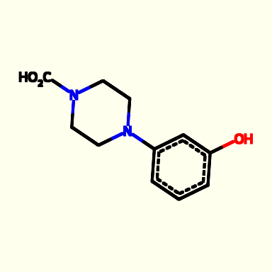 O=C(O)N1CCN(c2cccc(O)c2)CC1